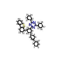 c1ccc(-c2ccc(-c3cc(-c4nc(-c5ccccc5)nc(-c5ccccc5)n4)cc(-c4cccc5c4sc4ccccc45)c3)cc2)cc1